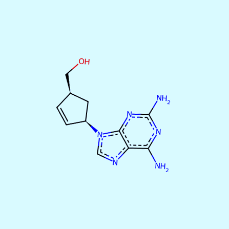 Nc1nc(N)c2ncn([C@H]3C=C[C@@H](CO)C3)c2n1